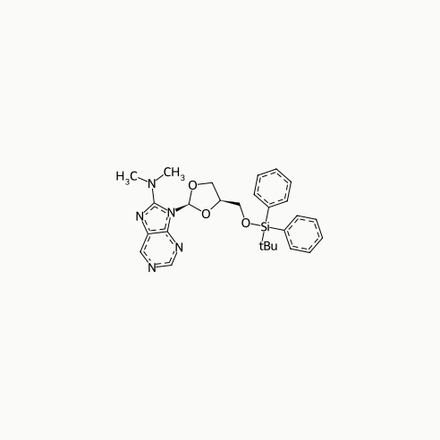 CN(C)c1nc2cncnc2n1[C@H]1OC[C@@H](CO[Si](c2ccccc2)(c2ccccc2)C(C)(C)C)O1